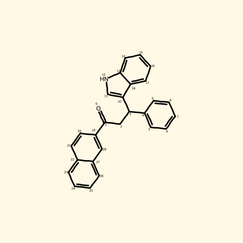 O=C(CC(c1ccccc1)c1c[nH]c2ccccc12)c1ccc2ccccc2c1